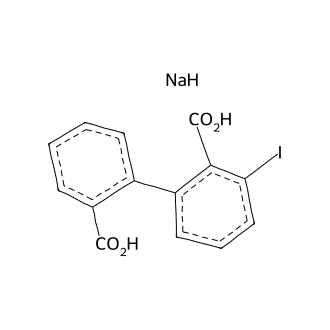 O=C(O)c1ccccc1-c1cccc(I)c1C(=O)O.[NaH]